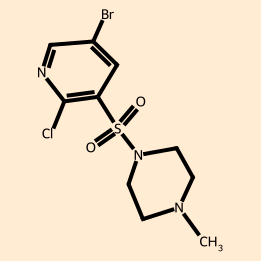 CN1CCN(S(=O)(=O)c2cc(Br)cnc2Cl)CC1